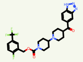 O=C(c1ccc2[nH]nnc2c1)C1CCN(C2CCN(C(=O)OCc3cc(C(F)(F)F)ccc3F)CC2)CC1